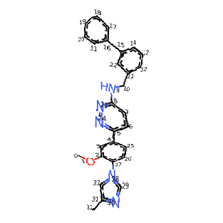 COc1cc(-c2ccc(NCc3cccc(-c4ccccc4)c3)nn2)ccc1-n1cnc(C)c1